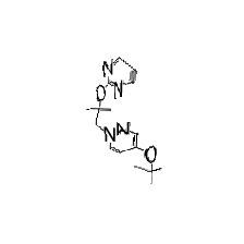 CC(C)(C)Oc1cc[n+](CC(C)(C)Oc2ncccn2)nc1